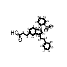 O=C(O)CCc1ccc2c(c1)c(CCc1ccccc1)cn2-c1ccccc1[N+](=O)[O-]